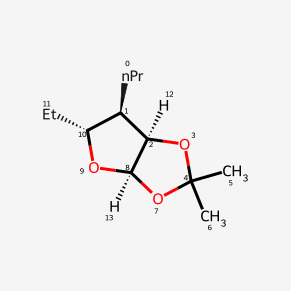 CCC[C@H]1[C@H]2OC(C)(C)O[C@H]2O[C@@H]1CC